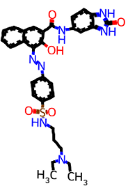 CCN(CC)CCCNS(=O)(=O)c1ccc(N=Nc2c(O)c(C(=O)Nc3ccc4[nH]c(=O)[nH]c4c3)cc3ccccc23)cc1